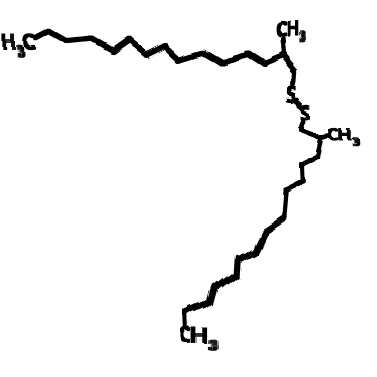 CCCCCCCCCCCCCC(C)CSSCC(C)CCCCCCCCCCCCC